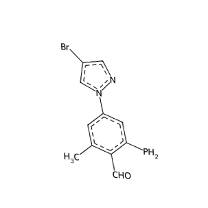 Cc1cc(-n2cc(Br)cn2)cc(P)c1C=O